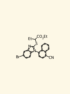 CCOC(=O)C(CC)Sc1nc2cc(Br)ccc2n1-c1ccc(C#N)c2ccccc12